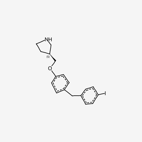 Ic1ccc(Cc2ccc(OC[C@H]3CCNC3)cc2)cc1